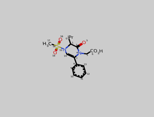 CC(C)C1C(=O)N(CC(=O)O)C(c2ccccc2)=CN1S(C)(=O)=O